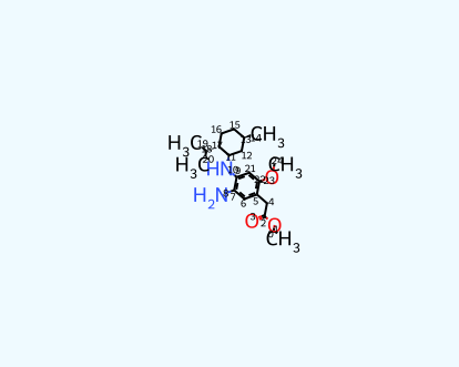 COC(=O)Cc1cc(N)c(N[C@@H]2C[C@H](C)CC[C@H]2C(C)C)cc1OC